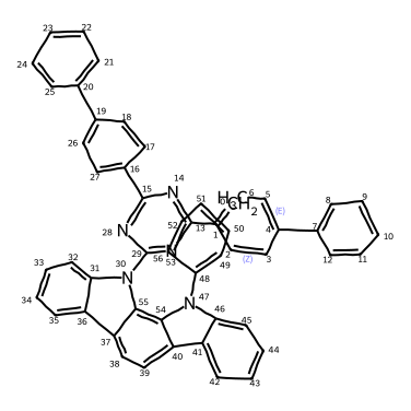 C=C(/C=C\C(=C/C)c1ccccc1)c1nc(-c2ccc(-c3ccccc3)cc2)nc(-n2c3ccccc3c3ccc4c5ccccc5n(-c5ccccc5)c4c32)n1